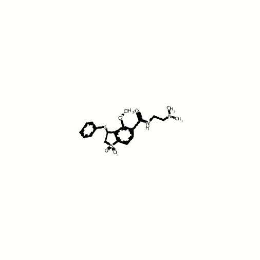 COc1c(C(=O)NCCN(C)C)ccc2c1C(Sc1ccccc1)CS2(=O)=O